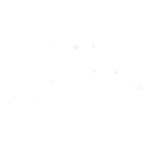 Cc1c(C(F)F)c(=O)n(C2CCCC2)c2cc(Nc3cnc(N4CCNCC4)cn3)ncc12